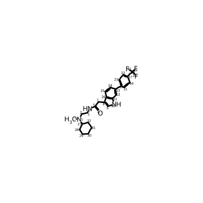 CN(CCNC(=O)Cc1c[nH]c2cc(-c3ccc(C(F)(F)F)cc3)ccc12)C1CCCCC1